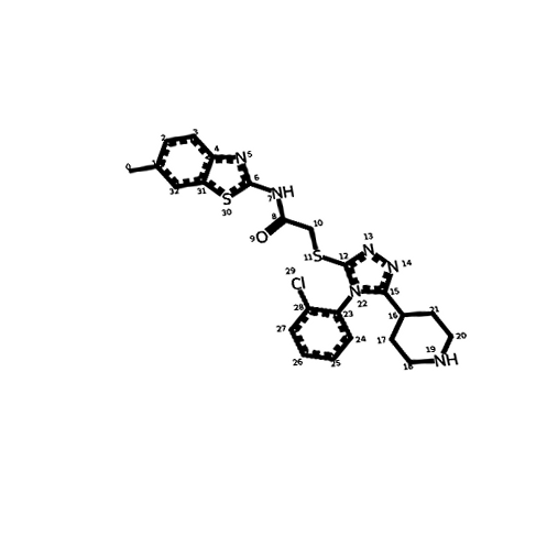 Cc1ccc2nc(NC(=O)CSc3nnc(C4CCNCC4)n3-c3ccccc3Cl)sc2c1